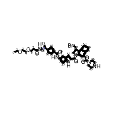 CCOCCOCCC(=O)N/N=C(\C)c1ccc(C(=O)Nc2ccc3[nH]c(C(=O)N4C[C@@H](CBr)c5c4cc(OC(=O)N4CCNCC4)c4ccccc54)cc3c2)cc1